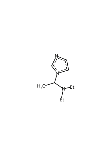 CCN(CC)C(C)n1ccnc1